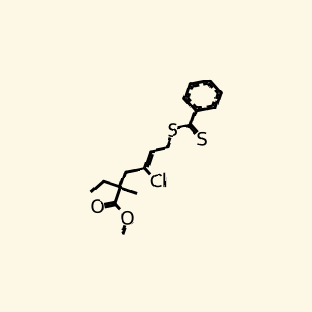 CCC(C)(CC(Cl)=CCSC(=S)c1ccccc1)C(=O)OC